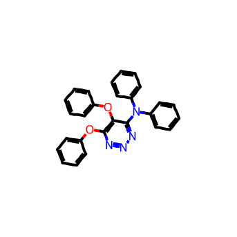 c1ccc(Oc2nnnc(N(c3ccccc3)c3ccccc3)c2Oc2ccccc2)cc1